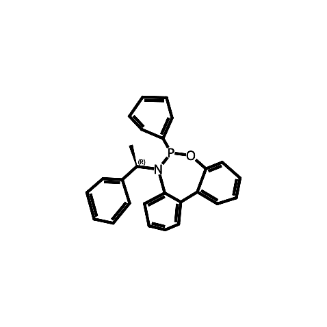 C[C@H](c1ccccc1)n1c2ccccc2c2ccccc2op1-c1ccccc1